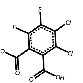 O=C(O)c1c(F)c(F)c(Cl)c(Cl)c1C(=O)O